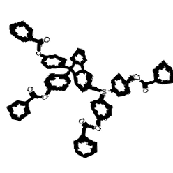 O=C(Oc1ccc([S+](c2ccc(OC(=O)c3ccccc3)cc2)c2ccc3c(c2)-c2ccccc2C3(c2ccc(OC(=O)c3ccccc3)cc2)c2ccc(OC(=O)c3ccccc3)cc2)cc1)c1ccccc1